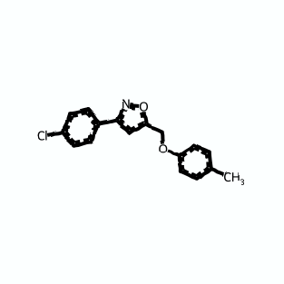 Cc1ccc(OCc2cc(-c3ccc(Cl)cc3)no2)cc1